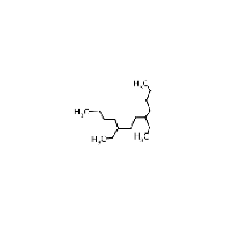 CCCCC(CC)CCC(CC)CCCC